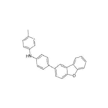 Cc1ccc(Nc2ccc(-c3ccc4oc5ccccc5c4c3)cc2)cc1